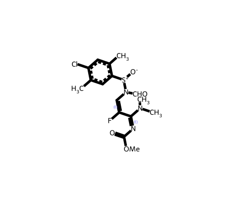 COC(=O)/N=C(\C(F)=C/N(C=O)[S+]([O-])c1cc(C)c(Cl)cc1C)N(C)C